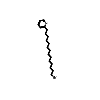 BrCCCCCCCCCCCCCCc1ccccn1